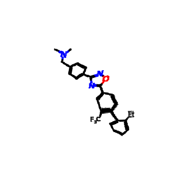 CCc1ccccc1-c1ccc(-c2nc(-c3ccc(CN(C)C)cc3)no2)cc1C(F)(F)F